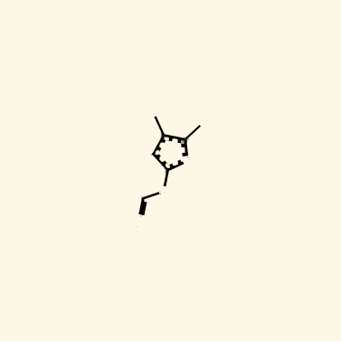 Cc1cc(NC=O)sc1C